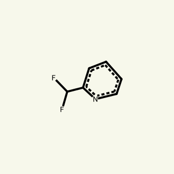 FC(F)c1ccccn1